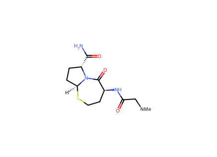 CNCC(=O)N[C@H]1CCS[C@H]2CC[C@H](C(N)=O)N2C1=O